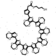 O=C(CC1=CCC(c2sc(-c3sc(-c4sc(-c5sc(-c6sc(-c7sc(-c8sc(-c9scc%10c9OCCO%10)c9c8OCCO9)c8c7OCCO8)c7c6OCCO7)c6c5OCCO6)c5c4OCCO5)c4c3OCCO4)c3c2OCCO3)=C1)SCCCS